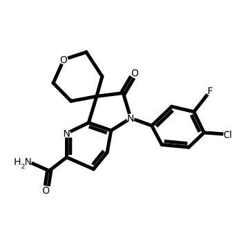 NC(=O)c1ccc2c(n1)C1(CCOCC1)C(=O)N2c1ccc(Cl)c(F)c1